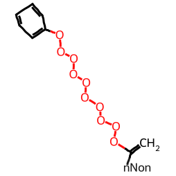 C=C(CCCCCCCCC)OOOOOOOOOOc1ccccc1